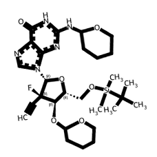 C#C[C@@]1(F)[C@H](OC2CCCCO2)[C@@H](CO[Si](C)(C)C(C)(C)C)O[C@H]1n1cnc2c(=O)[nH]c(NC3CCCCO3)nc21